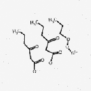 CCCC(=O)CC(=O)[O-].CCCC(=O)CC(=O)[O-].CCCO[O][Ti+2]